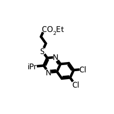 CCOC(=O)CCSc1nc2cc(Cl)c(Cl)cc2nc1C(C)C